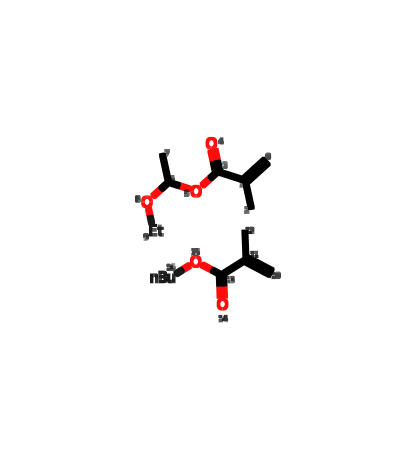 C=C(C)C(=O)OC(C)OCC.C=C(C)C(=O)OCCCC